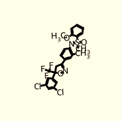 COc1ccccc1S(C)(=O)=Nc1ccc(C2=NOC(c3cc(Cl)cc(Cl)c3)(C(F)(F)F)C2)cc1C